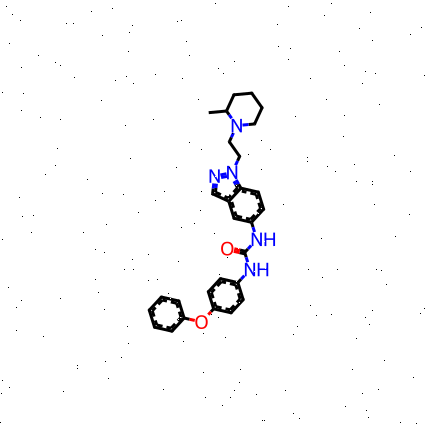 CC1CCCCN1CCn1ncc2cc(NC(=O)Nc3ccc(Oc4ccccc4)cc3)ccc21